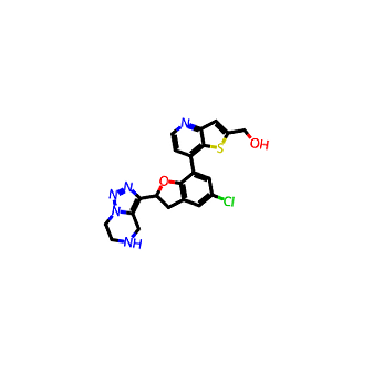 OCc1cc2nccc(-c3cc(Cl)cc4c3OC(c3nnn5c3CNCC5)C4)c2s1